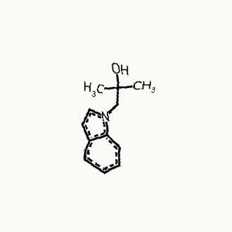 CC(C)(O)Cn1ccc2ccccc21